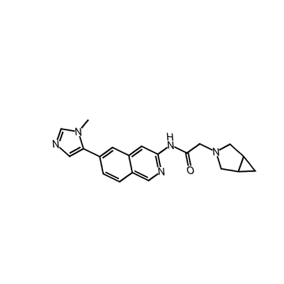 Cn1cncc1-c1ccc2cnc(NC(=O)CN3CC4CC4C3)cc2c1